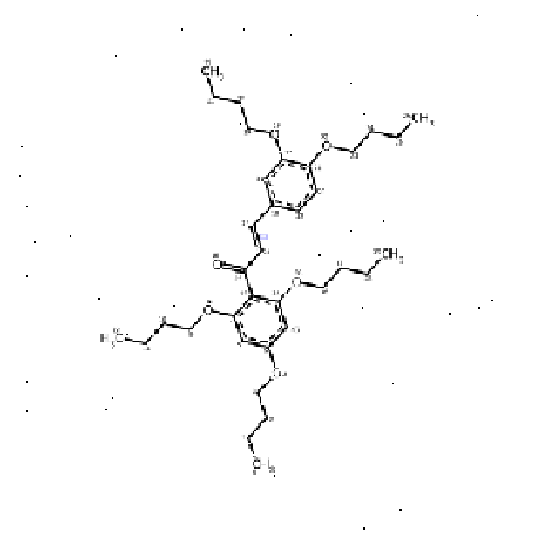 CCCCOc1cc(OCCCC)c(C(=O)/C=C/c2ccc(OCCCC)c(OCCCC)c2)c(OCCCC)c1